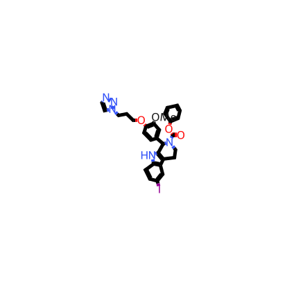 COc1cc(C2c3[nH]c4ccc(I)cc4c3CCN2C(=O)Oc2ccccc2)ccc1OCCCn1ccnn1